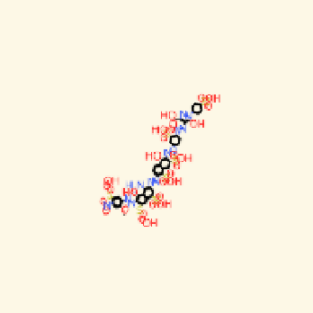 COc1cc([N+](=O)[O-])c(SOOO)cc1N=Nc1c(SOOO)cc2c(S(=O)(=O)O)cc(N=Nc3ccc4c(O)c(N=Nc5ccc(N=Nc6c(C(=O)O)nn(-c7ccc(S(=O)(=O)O)cc7)c6O)c(S(=O)(=O)O)c5)c(S(=O)(=O)O)cc4c3S(=O)(=O)O)c(N)c2c1O